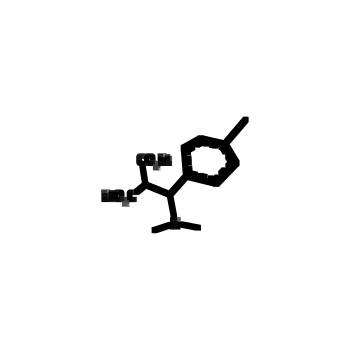 CCOC(=O)C(C(=O)OCC)C(c1ccc(C)cc1)N(C)C